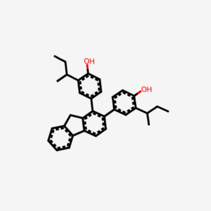 CCC(C)c1cc(-c2ccc3c(c2-c2ccc(O)c(C(C)CC)c2)Cc2ccccc2-3)ccc1O